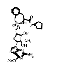 COc1nc(N)nc2c1ncn2[C@@H]1O[C@H](COP2(=O)NC(C(=O)OC3CCCC3)Cc3ccccc3S2)[C@@H](O)[C@@]1(C)O